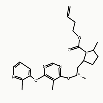 C=CCCOC(=O)N1C(C)CCC1C[C@H](C)Oc1ncnc(Oc2cccnc2C)c1C